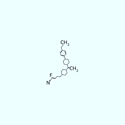 C=C(C1CCC(CCC=C(F)C#N)CC1)C1CCC(c2ccc(CCC)cc2)CC1